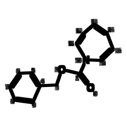 O=C(OCc1ccccc1)N1C=CC=CC=C1